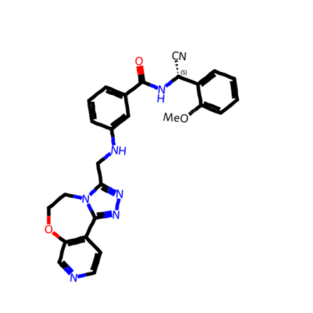 COc1ccccc1[C@@H](C#N)NC(=O)c1cccc(NCc2nnc3n2CCOc2cnccc2-3)c1